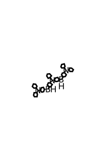 B(c1ccc(N(c2ccccc2)c2ccccc2)cc1)c1ccc(N(c2ccccc2)c2ccc(Bc3ccc(N(c4ccccc4)c4ccccc4)cc3)cc2)cc1